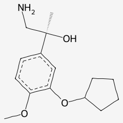 COc1ccc([C@](C)(O)CN)cc1OC1CCCC1